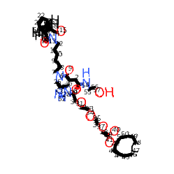 O=C(CCC(=O)N(CCCCCCN1C(=O)[C@@H]2[C@H](C1=O)[C@H]1C=C[C@@H]2C1)Cc1cn(CCOCCOCCOCC(=O)OC2CCCCCCCCC2)nn1)NCCO